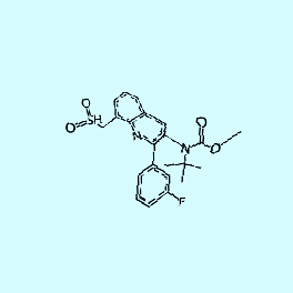 COC(=O)N(c1cc2cccc(C[SH](=O)=O)c2nc1-c1cccc(F)c1)C(C)(C)C